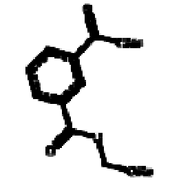 COCOC(=O)c1cccc(C(=O)OC)c1